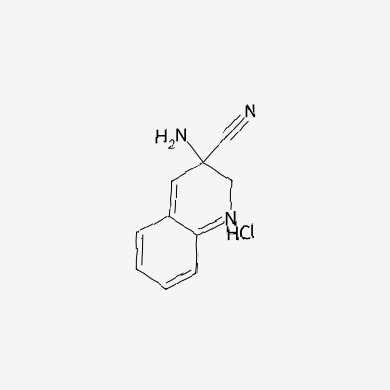 Cl.N#CC1(N)C=c2ccccc2=NC1